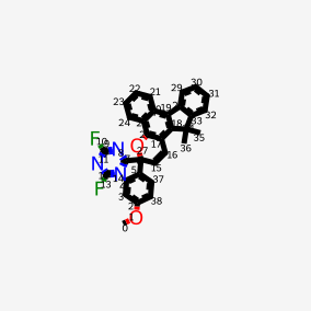 COc1ccc(C2(c3nc(F)nc(F)n3)C=Cc3c4c(c5ccccc5c3O2)-c2ccccc2C4(C)C)cc1